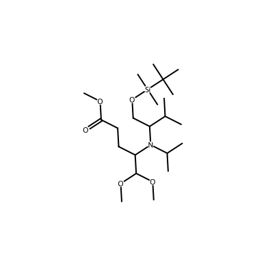 COC(=O)CCC(C(OC)OC)N(C(C)C)C(CO[Si](C)(C)C(C)(C)C)C(C)C